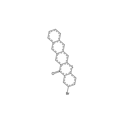 O=c1c2cc(Br)ccc2sc2cc3cc4ccccc4cc3cc12